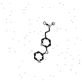 O=[N+]([O-])CCc1ccc(Oc2cccnc2)nc1